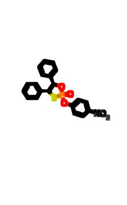 O=[N+]([O-])c1ccc(OP2(=O)O[C@H](c3ccccc3)[C@H](c3ccccc3)S2)cc1